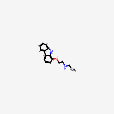 CCNCCOc1cccc2c1[nH]c1ccccc12